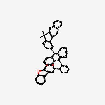 CC1(C)c2ccc(-c3c4ccccc4c(-c4ccccc4-c4ccc5oc6ccccc6c5c4)c4ccccc34)cc2-c2cc3ccccc3cc21